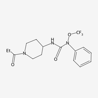 CCC(=O)N1CCC(NC(=O)N(OC(F)(F)F)c2ccccc2)CC1